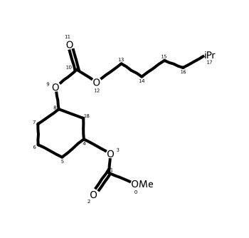 COC(=O)OC1CCCC(OC(=O)OCCCCC(C)C)C1